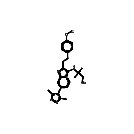 CCOc1ccc(CCc2nc3cc(-c4c(C)noc4C)ccn3c2NC(C)(C)CC(C)(C)C)cc1